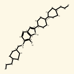 CCCC1CCC(COc2ccc3cc(C4CCC(C5CCC(CCC)CC5)CC4)sc3c2F)CC1